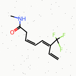 C=C/C(=C\C=C/CC(=O)NC)C(F)(F)F